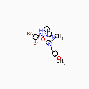 COc1ccc(CCN2CCC[C@@H]2CN(C)[C@@H](CNC(=O)Nc2cc(Br)cc(Br)c2)CC2CCCCC2)cc1